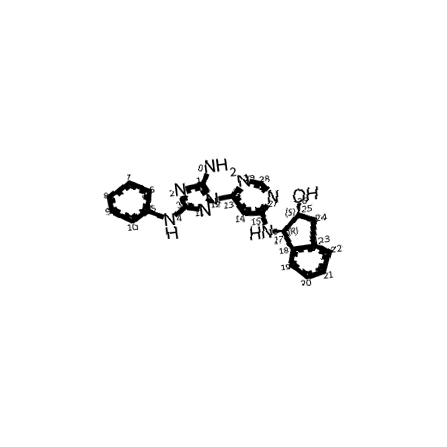 Nc1nc(Nc2ccccc2)nn1-c1cc(N[C@@H]2c3ccccc3C[C@@H]2O)ncn1